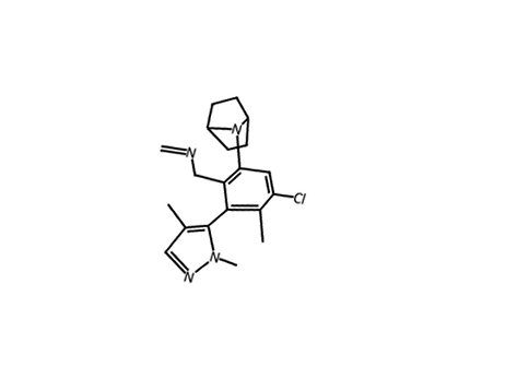 C=NCc1c(N2C3CCC2CC3)cc(Cl)c(C)c1-c1c(C)cnn1C